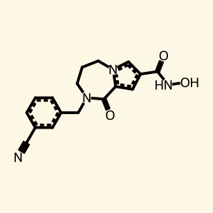 N#Cc1cccc(CN2CCCn3cc(C(=O)NO)cc3C2=O)c1